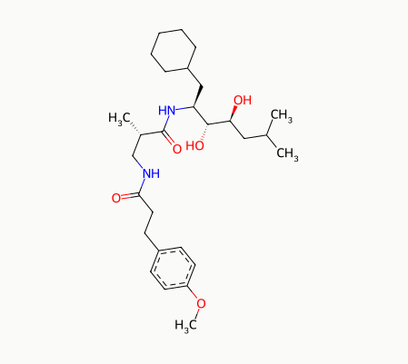 COc1ccc(CCC(=O)NC[C@H](C)C(=O)N[C@@H](CC2CCCCC2)[C@@H](O)[C@@H](O)CC(C)C)cc1